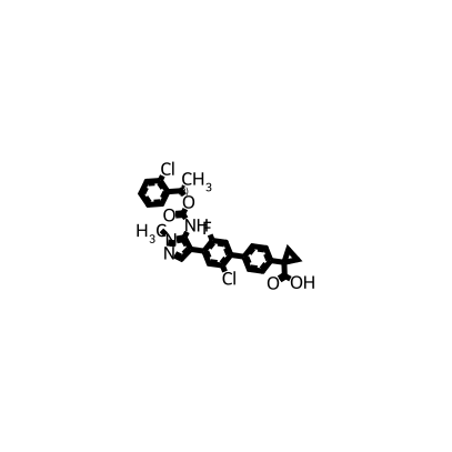 C[C@@H](OC(=O)Nc1c(-c2cc(Cl)c(-c3ccc(C4(C(=O)O)CC4)cc3)cc2F)cnn1C)c1ccccc1Cl